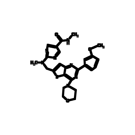 CNC(=O)c1cnc(N(C)Cc2cc3nc(-c4cccc(OC)c4)nc(N4CCOCC4)c3s2)nc1